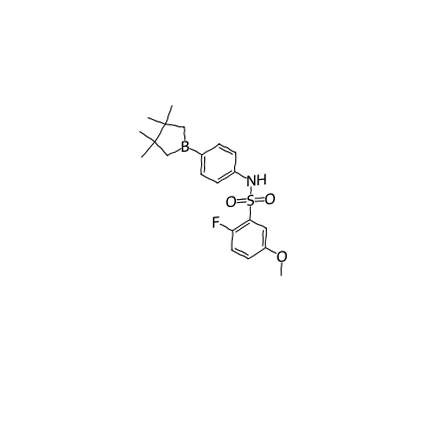 COc1ccc(F)c(S(=O)(=O)Nc2ccc(B3CC(C)(C)C(C)(C)C3)cc2)c1